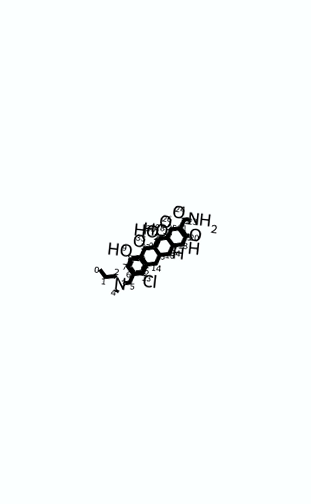 CCCN(C)Cc1cc(O)c2c(c1Cl)CC1C[C@H]3CC(O)=C(C(N)=O)C(=O)[C@@]3(O)C(O)=C1C2=O